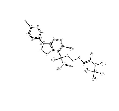 Cc1ncc2c(c1C(C)(CCON=[N+]([O-])N(C)C(C)(C)C)C(=O)O)CO[C@H]2c1ccc(Cl)cc1